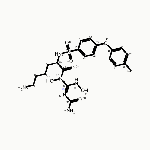 NCCCC[C@@H](NS(=O)(=O)c1ccc(Oc2ccc(F)cc2)cc1)C(=O)N(O)/C(=N/C(N)=O)NO